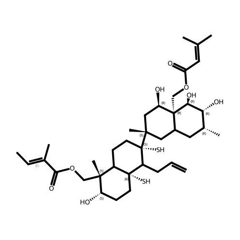 C=CCC1[C@@]2(S)CC[C@H](O)[C@](C)(COC(=O)/C(C)=C/C)C2CC[C@@]1(S)[C@@]1(C)CC2C[C@@H](C)[C@@H](O)[C@H](O)[C@]2(COC(=O)C=C(C)C)[C@H](O)C1